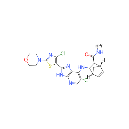 CCCNC(=O)[C@@H]1[C@H](Nc2c(Cl)cnc3[nH]c(-c4sc(N5CCOCC5)nc4Cl)nc23)[C@H]2C=C[C@@H]1C2